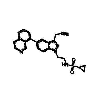 CC(C)(C)Cc1cn(CCNS(=O)(=O)C2CC2)c2ccc(-c3cccc4ccncc34)cc12